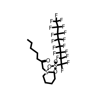 CCCCCC(=O)CS1(OS(=O)(=O)C(F)(F)C(F)(F)C(F)(F)C(F)(F)C(F)(F)C(F)(F)C(F)(F)C(F)(F)F)CCCCC1